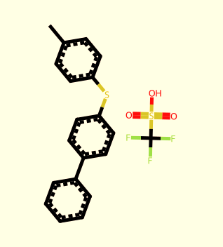 Cc1ccc(Sc2ccc(-c3ccccc3)cc2)cc1.O=S(=O)(O)C(F)(F)F